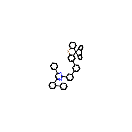 c1ccc(-c2cc(-c3ccccc3-c3ccccc3)nc(-c3cccc(-c4cccc(-c5ccc6c(c5)C5(c7ccccc7S6)c6ccccc6-c6ccccc65)c4)c3)n2)cc1